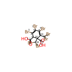 O=C(O)C1C(Br)=C(Br)C(Br)=C(C(Br)Br)C1(C(=O)O)C(Br)Br